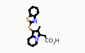 Cc1c(Sc2nc3ccccc3s2)c2ccccn2c1CC(=O)O